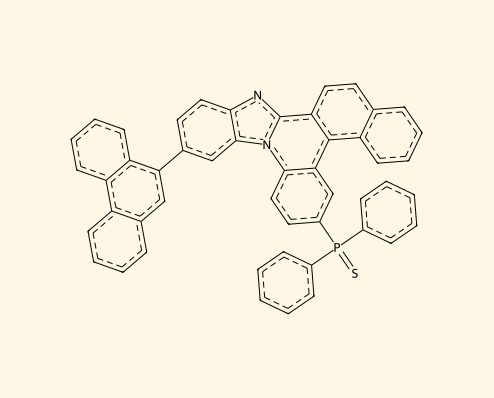 S=P(c1ccccc1)(c1ccccc1)c1ccc2c(c1)c1c3ccccc3ccc1c1nc3ccc(-c4cc5ccccc5c5ccccc45)cc3n21